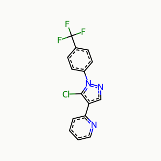 FC(F)(F)c1ccc(-n2ncc(-c3ccccn3)c2Cl)cc1